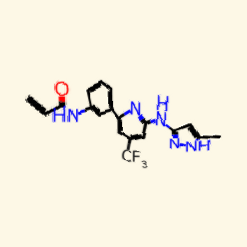 C=CC(=O)Nc1cccc(-c2cc(C(F)(F)F)cc(Nc3cc(C)[nH]n3)n2)c1